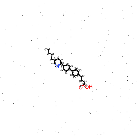 CCCCCc1ccc(-c2ccc(-c3ccc(CCCC(=O)O)cc3)cc2)nc1